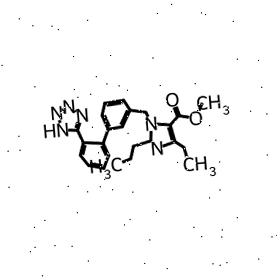 CCCc1nc(CC)c(C(=O)OC)n1Cc1cccc(-c2ccccc2-c2nnn[nH]2)c1